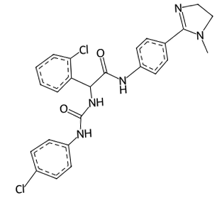 CN1CCN=C1c1ccc(NC(=O)C(NC(=O)Nc2ccc(Cl)cc2)c2ccccc2Cl)cc1